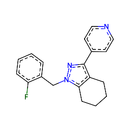 Fc1ccccc1Cn1nc(-c2ccncc2)c2c1CCCC2